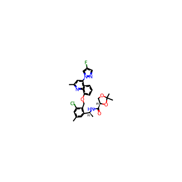 Cc1cc(Cl)c(COc2cccc3c(-n4cc(F)cn4)cc(C)nc23)c([C@H](C)NC(=O)[C@H]2COC(C)(C)O2)c1